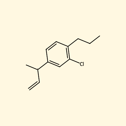 C=C[C](C)c1ccc(CCC)c(Cl)c1